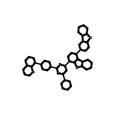 c1ccc(-c2cc(-c3ccc(-c4ccc5oc6ccccc6c5c4)c4c3oc3ccccc34)nc(-c3ccc(-c4cccc5cccnc45)cc3)n2)cc1